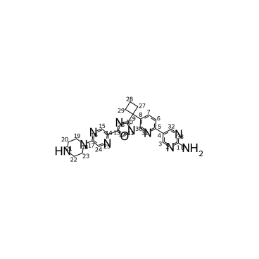 Nc1ncc(-c2ccc(C3(c4noc(-c5cnc(N6CCNCC6)cn5)n4)CCC3)cn2)cn1